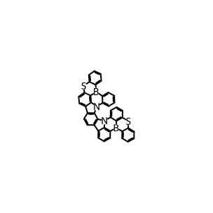 c1ccc2c(c1)Sc1cccc3c1B2c1cccc2c4ccc5c6ccc7c8c6n(c5c4n-3c12)-c1ccccc1B8c1ccccc1S7